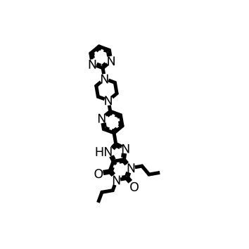 CCCn1c(=O)c2[nH]c(-c3ccc(N4CCN(c5ncccn5)CC4)nc3)nc2n(CCC)c1=O